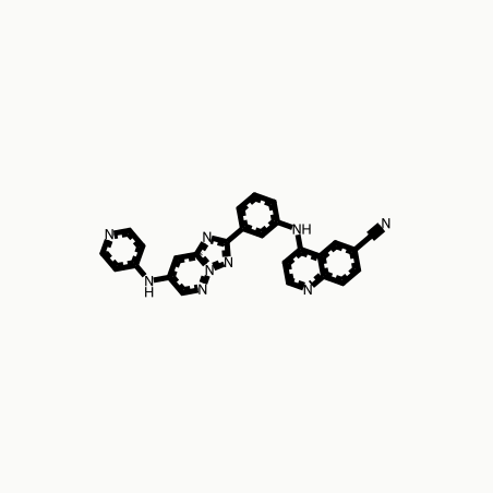 N#Cc1ccc2nccc(Nc3cccc(-c4nc5cc(Nc6ccncc6)cnn5n4)c3)c2c1